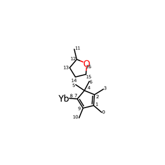 CC1=C(C)C(C)(C)[C]([Yb])=C1C.CC1CCCO1